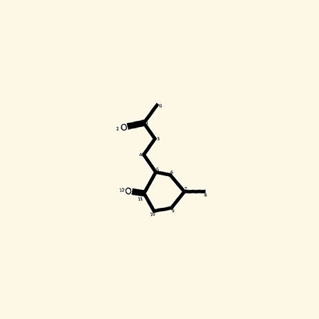 CC(=O)CCC1CC(C)CCC1=O